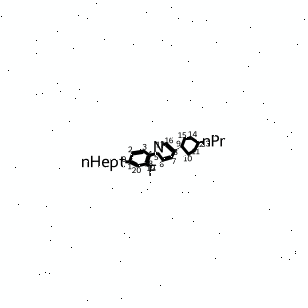 CCCCCCCc1ccc(-c2ccc([C@H]3CC[C@H](CCC)CC3)cn2)c(F)c1